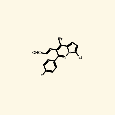 CCc1ccc2c(C(C)C)c(C=CC=O)c(-c3ccc(F)cc3)nn12